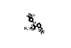 Cc1n[nH]c2cc(N(C)c3nc(N)ncc3-c3cccc(CS(=O)(=O)C(C)C)c3)ccc12